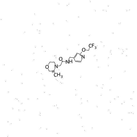 C[C@@H]1COCCN1CC(=O)NCc1ccnc(OCC(F)(F)F)c1